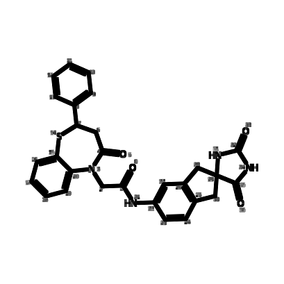 O=C(CN1C(=O)CC(c2ccccc2)Sc2ccccc21)Nc1ccc2c(c1)CC1(C2)NC(=O)NC1=O